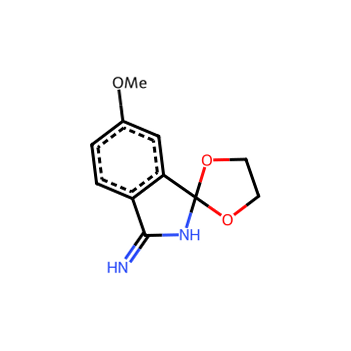 COc1ccc2c(c1)C1(NC2=N)OCCO1